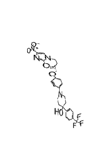 O=[N+]([O-])c1cn2c(n1)O[C@@H](COc1ccc(N3CCC(O)(c4ccc(C(F)(F)F)cc4)CC3)cc1)CC2